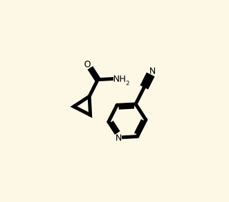 N#Cc1ccncc1.NC(=O)C1CC1